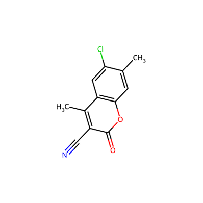 Cc1cc2oc(=O)c(C#N)c(C)c2cc1Cl